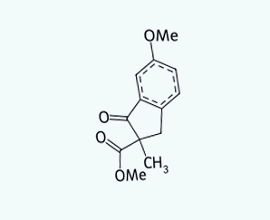 COC(=O)C1(C)Cc2ccc(OC)cc2C1=O